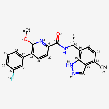 CCOc1nc(C(=O)N[C@H](C)c2ccc(C#N)c3cn[nH]c23)ccc1-c1cccc(F)c1